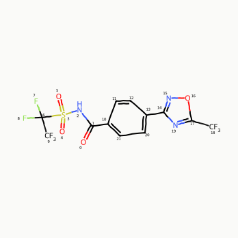 O=C(NS(=O)(=O)C(F)(F)C(F)(F)F)c1ccc(-c2noc(C(F)(F)F)n2)cc1